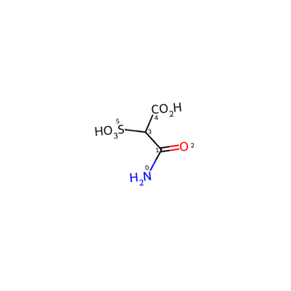 NC(=O)C(C(=O)O)S(=O)(=O)O